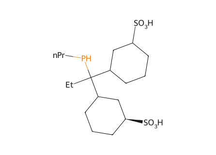 CCCPC(CC)(C1CCCC(S(=O)(=O)O)C1)C1CCC[C@H](S(=O)(=O)O)C1